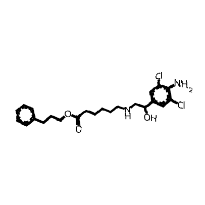 Nc1c(Cl)cc(C(O)CNCCCCCC(=O)OCCCc2ccccc2)cc1Cl